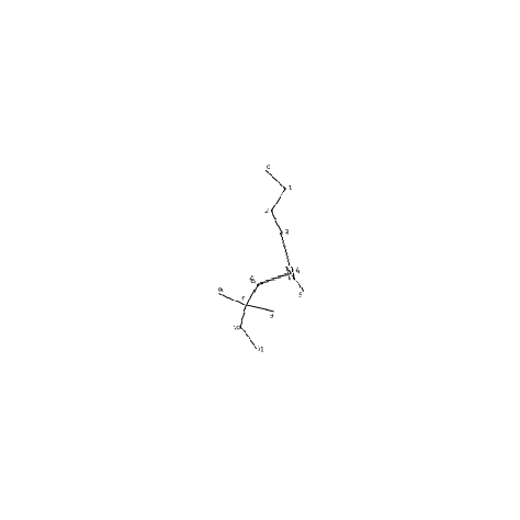 CCCCN(C)CC(C)(C)CC